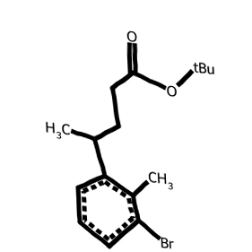 Cc1c(Br)cccc1C(C)CCC(=O)OC(C)(C)C